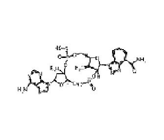 C=C1[C@H]2O[PH](=O)OC[C@H]3O[C@@H](n4cnc5c(N)ncnc54)[C@H](F)[C@@H]3O[P@@](=O)(SS)OC[C@H]1O[C@H]2n1nnc2c(C(N)=O)cccc21